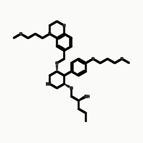 CCC[C@H](O)CO[C@@H]1CNC[C@H](OCc2ccc3c(c2)N(CCCOC)CCO3)C1c1ccc(OCCCOC)cc1